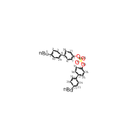 CCCCc1ccc(-c2ccc(OS(=O)(=O)Oc3ccc(-c4ccc(CCCC)cc4)cc3)cc2)cc1